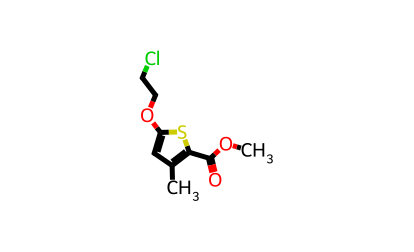 COC(=O)c1sc(OCCCl)cc1C